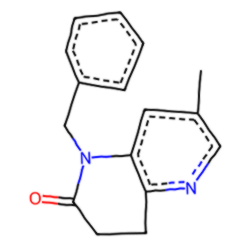 Cc1cnc2c(c1)N(Cc1ccccc1)C(=O)CC2